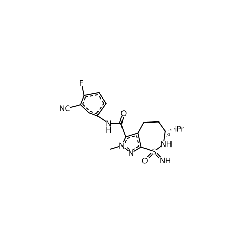 CC(C)[C@H]1CCc2c(nn(C)c2C(=O)Nc2ccc(F)c(C#N)c2)S(=N)(=O)N1